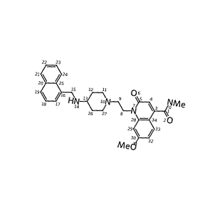 CNC(=O)c1cc(=O)n(CCN2CCC(NCc3cccc4ccccc34)CC2)c2cc(OC)ccc12